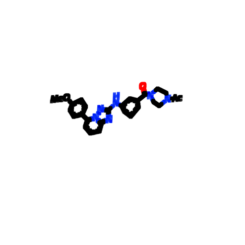 COc1ccc(-c2cccc3nc(Nc4cccc(C(=O)N5CCN(C(C)=O)CC5)c4)nn23)cc1